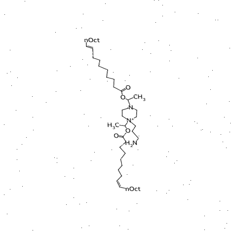 CCCCCCCCC=CCCCCCCCC(=O)OC(C)N1CC[N+](CCCN)(C(C)OC(=O)CCCCCCC/C=C\CCCCCCCC)CC1